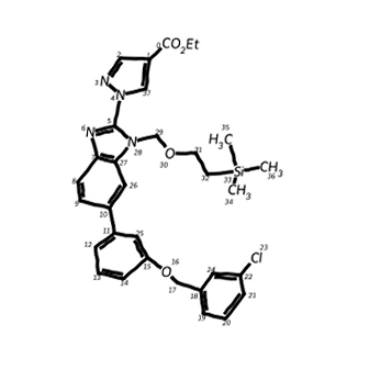 CCOC(=O)c1cnn(-c2nc3ccc(-c4cccc(OCc5cccc(Cl)c5)c4)cc3n2COCC[Si](C)(C)C)c1